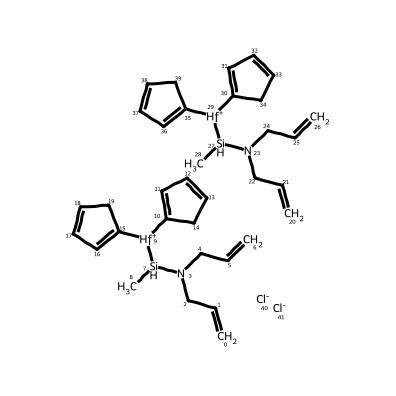 C=CCN(CC=C)[SiH](C)[Hf+]([C]1=CC=CC1)[C]1=CC=CC1.C=CCN(CC=C)[SiH](C)[Hf+]([C]1=CC=CC1)[C]1=CC=CC1.[Cl-].[Cl-]